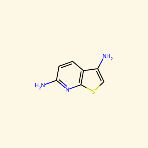 Nc1ccc2c(N)csc2n1